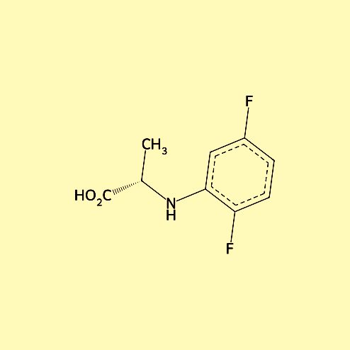 C[C@H](Nc1cc(F)ccc1F)C(=O)O